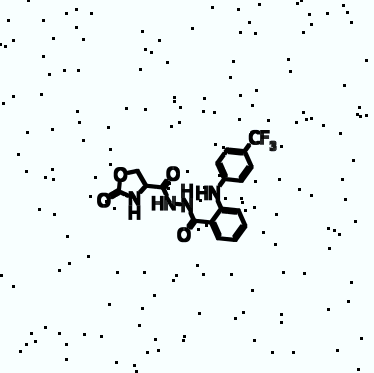 O=C1NC(C(=O)NNC(=O)c2ccccc2Nc2ccc(C(F)(F)F)cc2)CO1